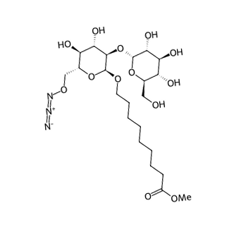 COC(=O)CCCCCCCCO[C@H]1O[C@H](CON=[N+]=[N-])[C@@H](O)[C@H](O)[C@H]1O[C@H]1O[C@H](CO)[C@@H](O)[C@H](O)[C@H]1O